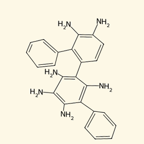 Nc1ccc(-c2c(N)c(N)c(N)c(-c3ccccc3)c2N)c(-c2ccccc2)c1N